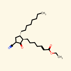 CCCCCCCC[C@H]1CC(C#N)C(=O)[C@@H]1CCCCC=CC(=O)OCC